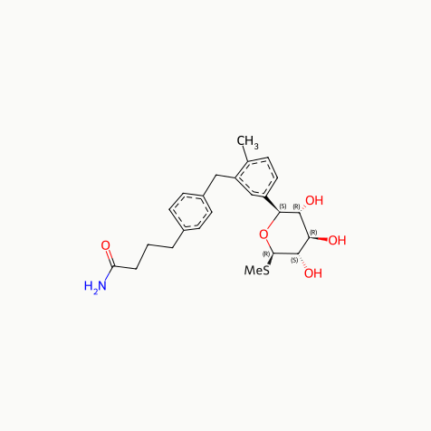 CS[C@H]1O[C@@H](c2ccc(C)c(Cc3ccc(CCCC(N)=O)cc3)c2)[C@H](O)[C@@H](O)[C@@H]1O